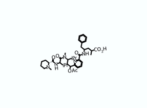 CC(=O)OC(CC(C(C)C)N(C)C(=O)C(NC(=O)[C@H]1CCCCN1C)C(C)C)c1cccc(C(=O)NC(Cc2ccccc2)CC(C)C(=O)O)n1